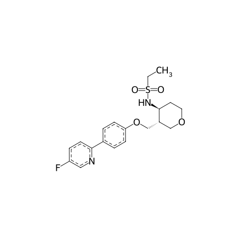 CCS(=O)(=O)N[C@H]1CCOC[C@@H]1COc1ccc(-c2ccc(F)cn2)cc1